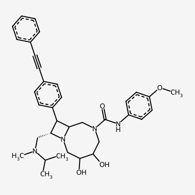 COc1ccc(NC(=O)N2CC(O)C(O)CN3C(C2)C(c2ccc(C#Cc4ccccc4)cc2)[C@H]3CN(C)C(C)C)cc1